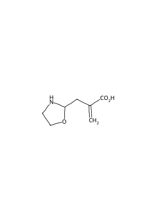 C=C(CC1NCCO1)C(=O)O